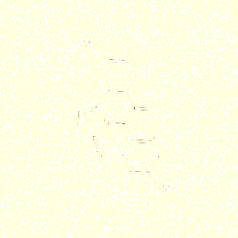 COc1ccc(C(=O)C(c2ccc(OC)cc2)n2cc(C)sc2=N)cc1